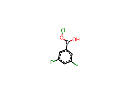 OB(OCl)c1cc(F)cc(F)c1